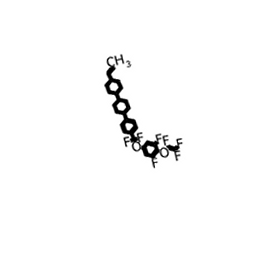 C/C=C/C1CCC(C2CCC(c3ccc(C(F)(F)Oc4cc(F)c(OC(F)=C(F)F)c(F)c4)cc3)CC2)CC1